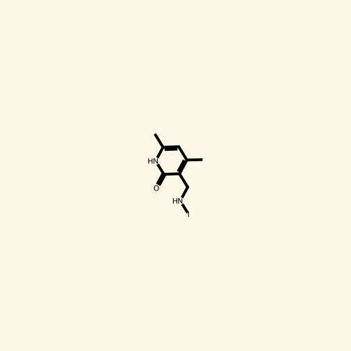 Cc1cc(C)c(CNI)c(=O)[nH]1